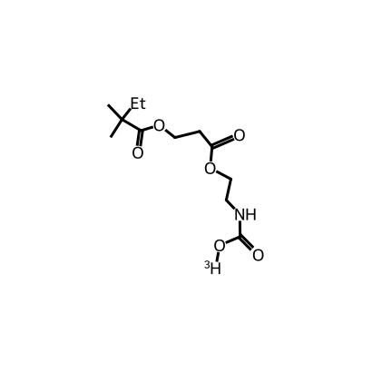 [3H]OC(=O)NCCOC(=O)CCOC(=O)C(C)(C)CC